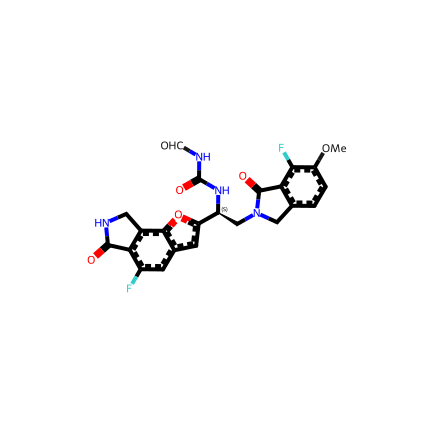 COc1ccc2c(c1F)C(=O)N(C[C@H](NC(=O)NC=O)c1cc3cc(F)c4c(c3o1)CNC4=O)C2